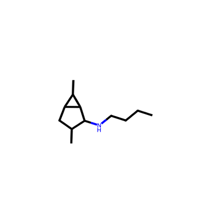 CCCCNC1C(C)CC2C(C)C21